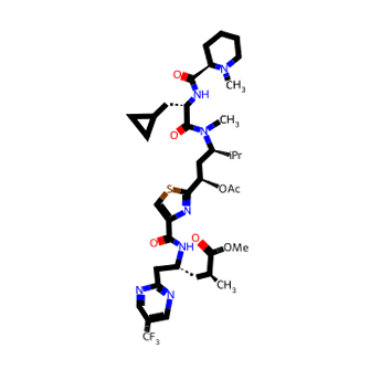 COC(=O)[C@@H](C)C[C@H](Cc1ncc(C(F)(F)F)cn1)NC(=O)c1csc([C@@H](C[C@H](C(C)C)N(C)C(=O)[C@H](CC2CC2)NC(=O)[C@H]2CCCCN2C)OC(C)=O)n1